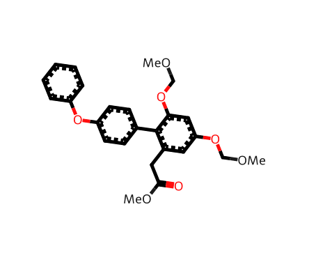 COCOc1cc(CC(=O)OC)c(-c2ccc(Oc3ccccc3)cc2)c(OCOC)c1